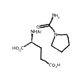 CC(=O)N[C@@H](CCC(=O)O)C(=O)O.NC(=O)N1CCCC1